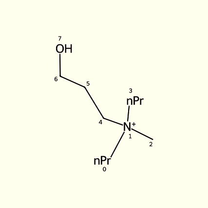 CCC[N+](C)(CCC)CCCO